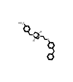 O=C(O)c1ccc(CN2C[C@@H]3C[C@H]2CN3CCOc2ccc(Cc3ccccc3)cc2)cc1